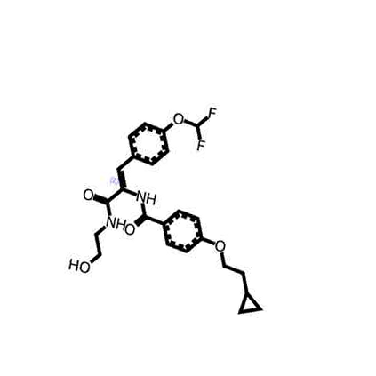 O=C(NCCO)/C(=C/c1ccc(OC(F)F)cc1)NC(=O)c1ccc(OCCC2CC2)cc1